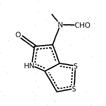 CN(C=O)c1c2sscc-2[nH]c1=O